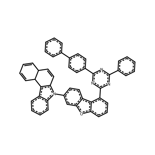 C1=CC2C=Cc3c(c4ccccc4n3-c3ccc4c(c3)oc3cccc(-c5nc(-c6ccccc6)nc(-c6ccc(-c7ccccc7)cc6)n5)c34)C2C=C1